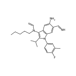 C=CN(CCCCC)c1c(C(C)C)n(-c2ccc(F)c(C)c2)c2cc(C=N)c(N)cc12